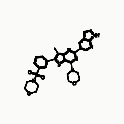 Cc1c(-c2cccc(S(=O)(=O)N3CCOCC3)c2)sc2c(N3CCOCC3)nc(-c3cnc4[nH]ccc4c3)nc12